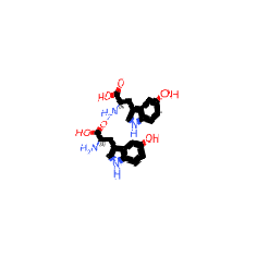 N[C@@H](Cc1c[nH]c2ccc(O)cc12)C(=O)O.N[C@@H](Cc1c[nH]c2ccc(O)cc12)C(=O)O